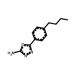 CCCCc1ccc(-c2nnc(N)o2)cc1